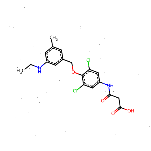 CCNc1cc(C)cc(COc2c(Cl)cc(NC(=O)CC(=O)O)cc2Cl)c1